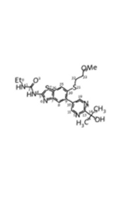 CCNC(=O)Nc1nc2cc(-c3cnc(C(C)(C)O)nc3)c(SCCOC)cc2s1